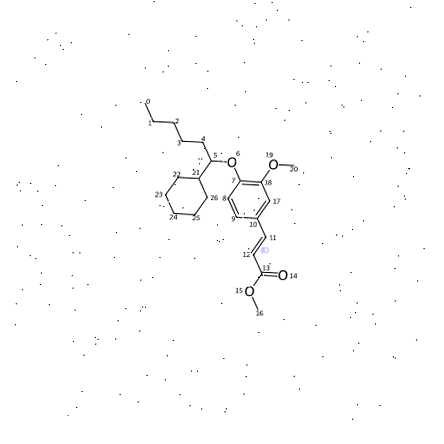 CCCCCC(Oc1ccc(/C=C/C(=O)OC)cc1OC)C1CCCCC1